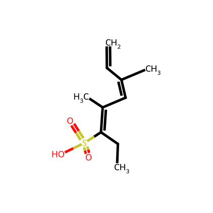 C=C/C(C)=C\C(C)=C(/CC)S(=O)(=O)O